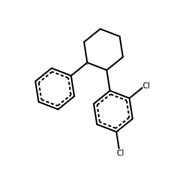 Clc1ccc(C2CCCC[C]2c2ccccc2)c(Cl)c1